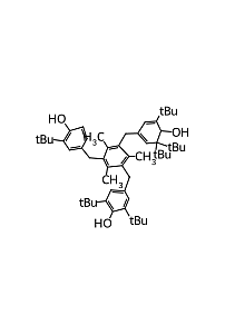 Cc1c(CC2=CC(C(C)(C)C)(C(C)(C)C)C(O)C(C(C)(C)C)=C2)c(C)c(Cc2cc(C(C)(C)C)c(O)c(C(C)(C)C)c2)c(C)c1Cc1ccc(O)c(C(C)(C)C)c1